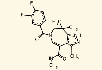 CNC(=O)C1=CN(C(=O)c2ccc(F)c(F)c2)CC(C)(C)c2[nH]nc(C)c21